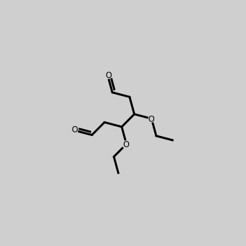 CCOC(CC=O)C(CC=O)OCC